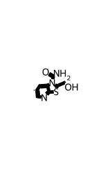 NC(=O)N1c2c[c]cnc2SC1CO